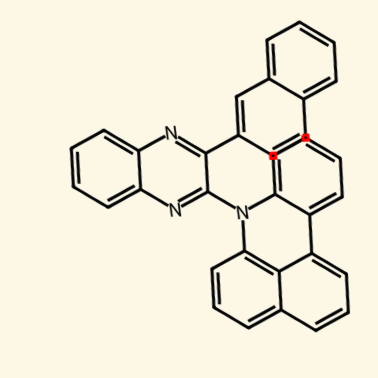 c1ccc2c(c1)-c1cccc3cccc(c13)N2c1nc2ccccc2nc1-c1ccc2ccccc2c1